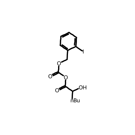 CCCCC(O)C(=O)OC(=O)OCc1ccccc1I